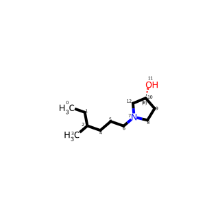 CCC(C)CCCN1CC[C@@H](O)C1